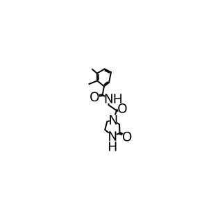 Cc1cccc(C(=O)NCC(=O)N2CCNC(=O)C2)c1C